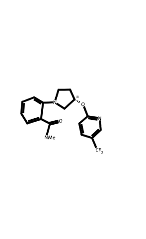 CNC(=O)c1ccccc1N1CC[C@H](Oc2ccc(C(F)(F)F)cn2)C1